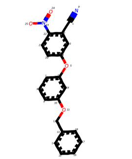 N#Cc1cc(Oc2cccc(OCc3ccccc3)c2)ccc1[N+](=O)[O-]